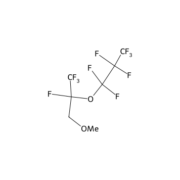 COCC(F)(OC(F)(F)C(F)(F)C(F)(F)F)C(F)(F)F